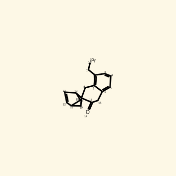 CC(C)Cc1cccc2c1CC1(CC3C=CC1C3)C(=O)C2